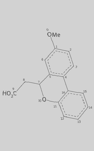 COc1ccc2c(c1)C(CC(=O)O)Oc1ccccc1-2